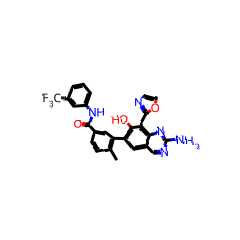 Cc1ccc(C(=O)Nc2cccc(C(F)(F)F)c2)cc1-c1cc2cnc(N)nc2c(-c2ncco2)c1O